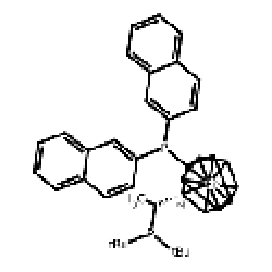 CC(P(C(C)(C)C)C(C)(C)C)[C@]12[CH]3[CH]4[CH]5[C]1(P(c1ccc6ccccc6c1)c1ccc6ccccc6c1)[Fe]45321678[CH]2[CH]1[CH]6[CH]7[CH]28